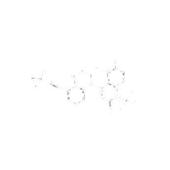 CC1(C#Cc2cncc3c2CCCN3c2nc(=O)n(C(O)(O)O)c3ccc(F)c(F)c23)CC1